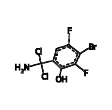 NC(Cl)(Cl)c1cc(F)c(Br)c(F)c1O